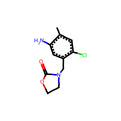 Cc1cc(Cl)c(CN2CCOC2=O)cc1N